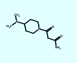 CN(C)C1CCN(C(=O)[CH]C(N)=O)CC1